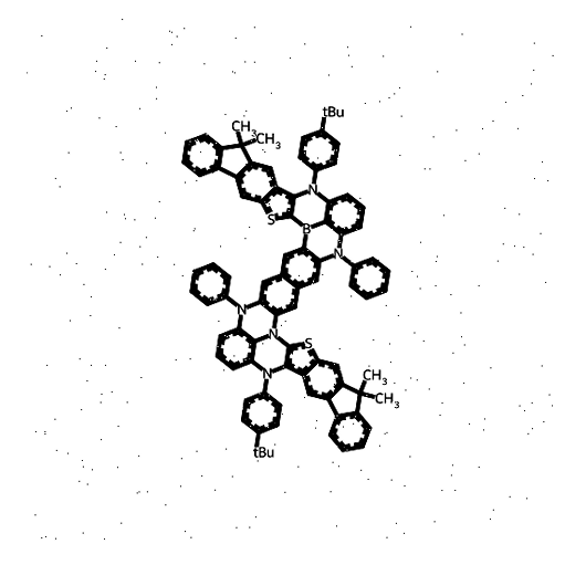 CC(C)(C)c1ccc(N2c3cccc4c3B(c3cc5cc6c(cc5cc3N4c3ccccc3)N3c4sc5cc7c(cc5c4N(c4ccc(C(C)(C)C)cc4)c4cccc(c43)N6c3ccccc3)-c3ccccc3C7(C)C)c3sc4cc5c(cc4c32)C(C)(C)c2ccccc2-5)cc1